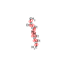 C=CC(=O)Oc1ccc(C(=O)Oc2ccc(C(=O)O[C@H]3CO[C@H]4[C@@H]3OC[C@H]4OC(=O)c3ccc(OC(=O)c4ccc(OC(=O)C=C)cc4OCC)cc3OCC)c(OCC)c2)c(OCC)c1